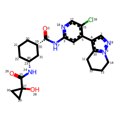 O=C(Nc1cc(-c2cnn3c2CCCC3)c(Cl)cn1)[C@H]1CCC[C@@H](NC(=O)C2(O)CC2)C1